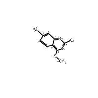 CSc1nc(Cl)nc2cc(Br)ccc12